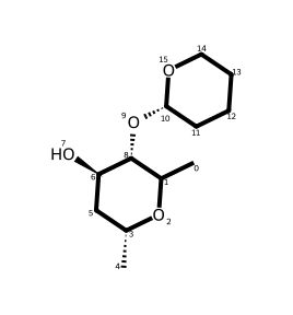 CC1O[C@H](C)C[C@@H](O)[C@@H]1O[C@H]1CCCCO1